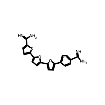 N=C(N)c1ccc(-c2ccc(-c3ccc(-c4ccc(C(=N)N)s4)o3)o2)cc1